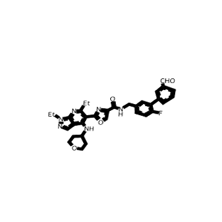 CCc1nc2c(cnn2CC)c(NC2CCOCC2)c1-c1nc(C(=O)NCc2ccc(F)c(-c3cccc(C=O)c3)c2)co1